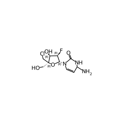 NC1C=CN([C@@H]2O[C@@](CO)(CCl)[C@@H](O)[C@H]2F)C(=O)N1